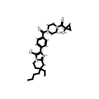 CCCCC1(CC)CCn2c(nc(-c3ccc(C(=O)N4CCN(C(=O)C5(O)CC5)CC4)cc3)c2Cl)C1